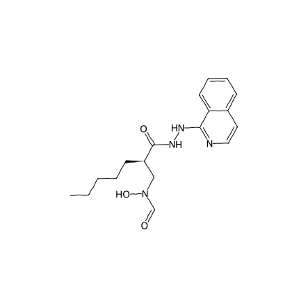 CCCCC[C@H](CN(O)C=O)C(=O)NNc1nccc2ccccc12